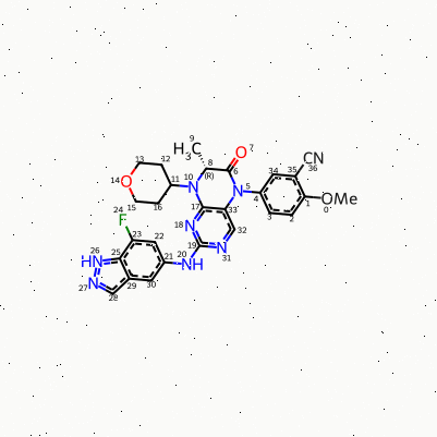 COc1ccc(N2C(=O)[C@@H](C)N(C3CCOCC3)c3nc(Nc4cc(F)c5[nH]ncc5c4)ncc32)cc1C#N